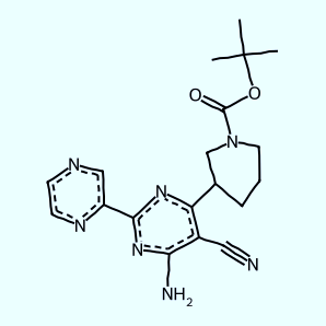 CC(C)(C)OC(=O)N1CCCC(c2nc(-c3cnccn3)nc(N)c2C#N)C1